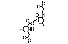 COC(=O)CCNC(CC(C)C)C(=O)OCOC(=O)C(CC(C)C)NCCC(=O)OC